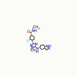 CCNC(=O)c1ccc(-c2nc(Nc3ccc4[nH]ncc4c3)n(C)n2)c(F)c1